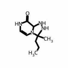 CCCC1(C)NNC2C(=O)NC=CN21